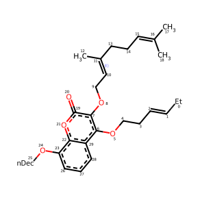 CCC=CCCOc1c(OC/C=C(\C)CCC=C(C)C)c(=O)oc2c(OCCCCCCCCCC)cccc12